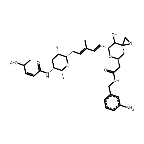 CC(=O)OC(C)/C=C\C(=O)N[C@@H]1C[C@H](C)[C@H](C/C=C(C)/C=C/[C@H]2O[C@H](CC(=O)NCc3cccc(N)c3)C[C@@]3(CO3)[C@@H]2O)O[C@@H]1C